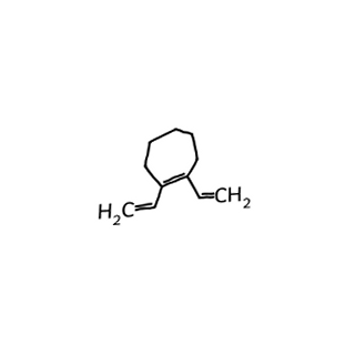 C=CC1=C(C=C)CCCCC1